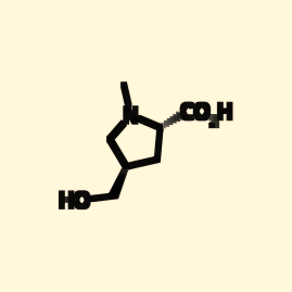 CN1C[C@H](CO)C[C@H]1C(=O)O